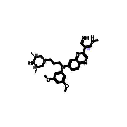 CN/C=C(\C=N)c1cnc2ccc(N(CCCN3C[C@@H](C)N[C@@H](C)C3)c3cc(OC)cc(OC)c3)cc2n1